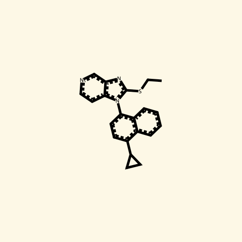 CCSc1nc2cnccc2n1-c1ccc(C2CC2)c2ccccc12